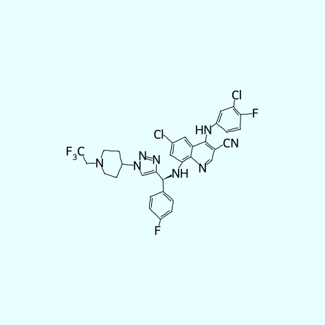 N#Cc1cnc2c(N[C@@H](c3ccc(F)cc3)c3cn(C4CCN(CC(F)(F)F)CC4)nn3)cc(Cl)cc2c1Nc1ccc(F)c(Cl)c1